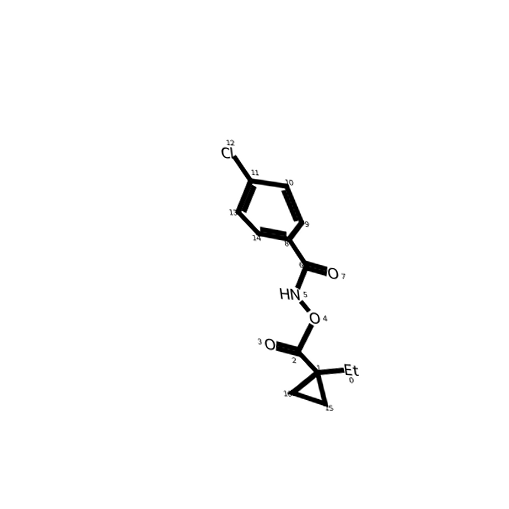 CCC1(C(=O)ONC(=O)c2ccc(Cl)cc2)CC1